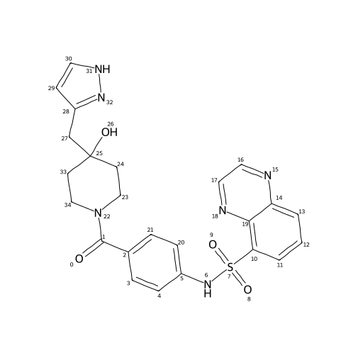 O=C(c1ccc(NS(=O)(=O)c2cccc3nccnc23)cc1)N1CCC(O)(Cc2cc[nH]n2)CC1